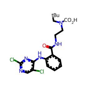 CC(C)(C)CN(CCNC(=O)c1ccccc1Nc1nc(Cl)ncc1Cl)C(=O)O